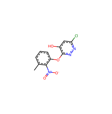 Cc1cccc(Oc2nnc(Cl)cc2O)c1[N+](=O)[O-]